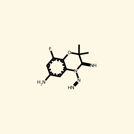 CC1(C)Oc2c(F)cc(N)cc2N(N=N)C1=N